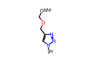 COCOCc1cn(C(C)C)nn1